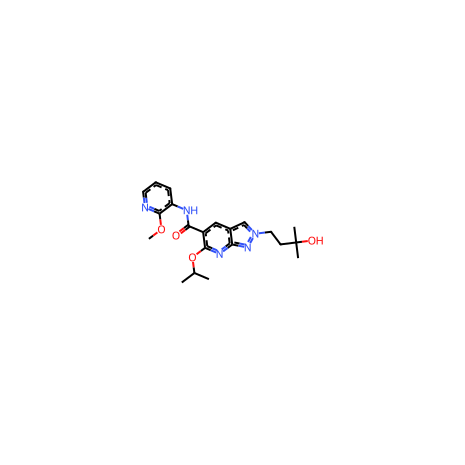 COc1ncccc1NC(=O)c1cc2cn(CCC(C)(C)O)nc2nc1OC(C)C